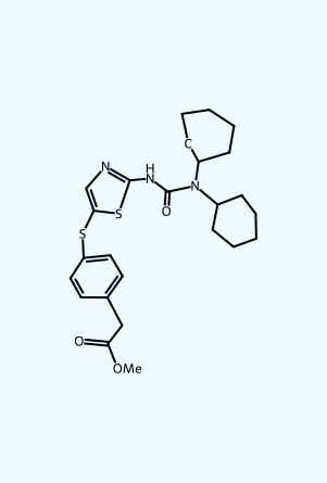 COC(=O)Cc1ccc(Sc2cnc(NC(=O)N(C3CCCCC3)C3CCCCC3)s2)cc1